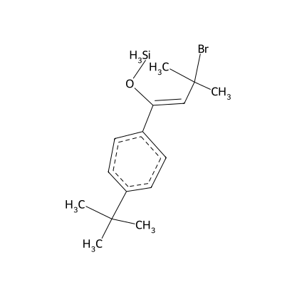 CC(C)(Br)C=C(O[SiH3])c1ccc(C(C)(C)C)cc1